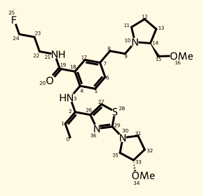 CC=C(Nc1ccc(CCN2CCC[C@H]2COC)cc1C(=O)NCCCF)c1csc(N2CC[C@H](OC)C2)n1